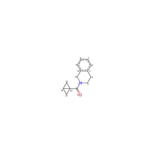 O=C(N1CCc2ccccc2C1)C12CC1C2